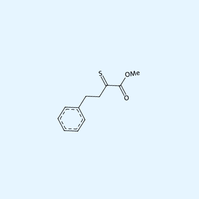 COC(=O)C(=S)CCc1ccccc1